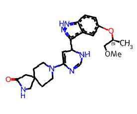 COC[C@H](C)Oc1ccc2[nH]nc(C3C=C(N4CCC5(CC4)CNC(=O)C5)N=CN3)c2c1